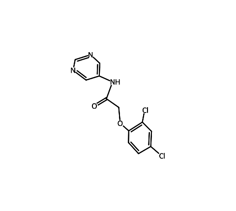 O=C(COc1ccc(Cl)cc1Cl)Nc1cncnc1